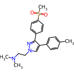 Cc1ccc(-c2cn(CCN(C)C)nc2-c2ccc(S(C)(=O)=O)cc2)cc1